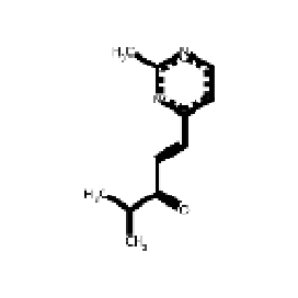 Cc1nccc(/C=C/C(=O)C(C)C)n1